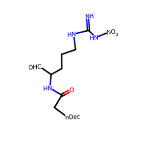 CCCCCCCCCCCC(=O)NC(C=O)CCCNC(=N)N[N+](=O)[O-]